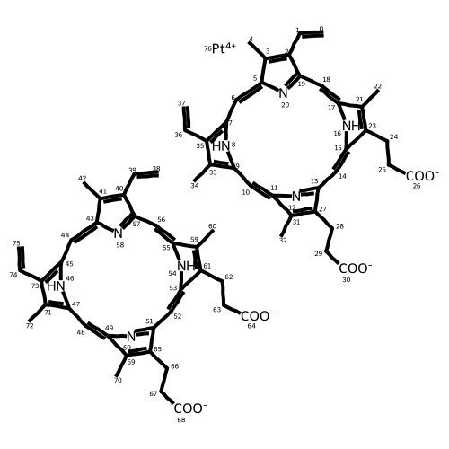 C=CC1=C(C)c2cc3[nH]c(cc4nc(cc5[nH]c(cc1n2)c(C)c5CCC(=O)[O-])C(CCC(=O)[O-])=C4C)c(C)c3C=C.C=CC1=C(C)c2cc3[nH]c(cc4nc(cc5[nH]c(cc1n2)c(C)c5CCC(=O)[O-])C(CCC(=O)[O-])=C4C)c(C)c3C=C.[Pt+4]